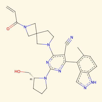 C=CC(=O)N1CC2(CCN(c3nc(N4CCC[C@@H]4CO)nc(-c4c(C)ccc5[nH]ncc45)c3C#N)C2)C1